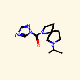 CC(C)N1CCC2(CCN2C(=O)n2cncn2)C1